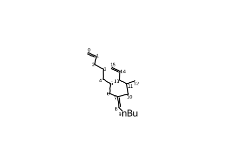 C=CCCCCCC(=CCCCC)CC(C)CC=C